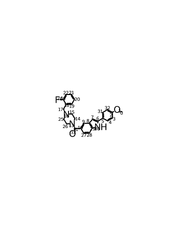 COc1ccc(-c2cc3cc(C(=O)N4CCN(Cc5ccccc5F)CC4)ccc3[nH]2)cc1